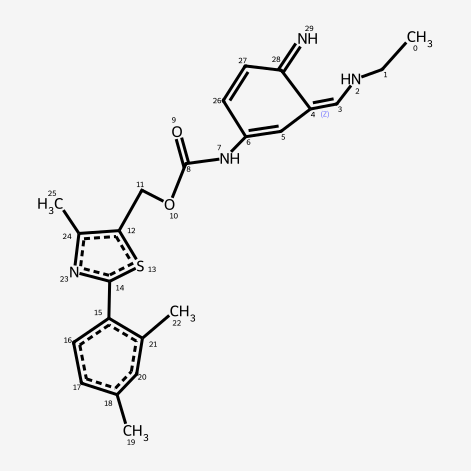 CCN/C=C1/C=C(NC(=O)OCc2sc(-c3ccc(C)cc3C)nc2C)C=CC1=N